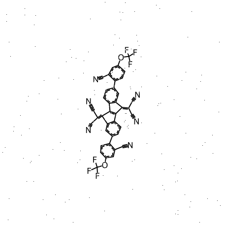 N#CC(C#N)=C1C2=C(C(=C(C#N)C#N)c3cc(-c4ccc(OC(F)(F)F)cc4C#N)ccc32)c2ccc(-c3ccc(OC(F)(F)F)cc3C#N)cc21